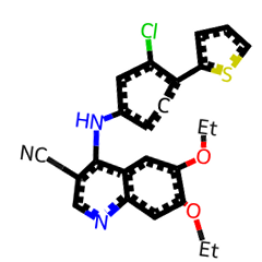 CCOc1cc2ncc(C#N)c(Nc3ccc(-c4cccs4)c(Cl)c3)c2cc1OCC